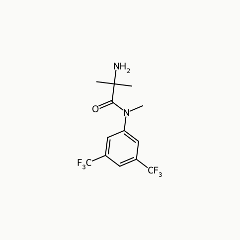 CN(C(=O)C(C)(C)N)c1cc(C(F)(F)F)cc(C(F)(F)F)c1